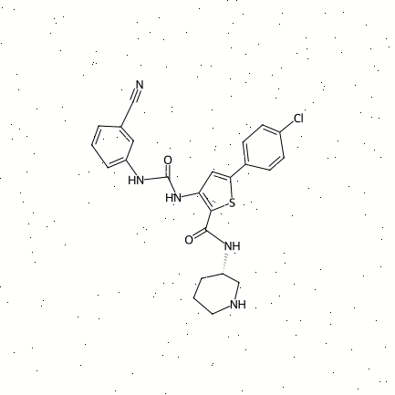 N#Cc1cccc(NC(=O)Nc2cc(-c3ccc(Cl)cc3)sc2C(=O)N[C@H]2CCCNC2)c1